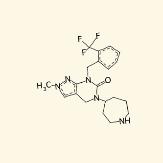 Cn1cc2c(n1)N(Cc1ccccc1C(F)(F)F)C(=O)N(C1CCCNCC1)C2